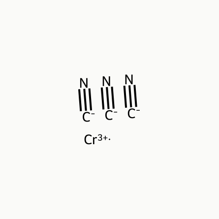 [C-]#N.[C-]#N.[C-]#N.[Cr+3]